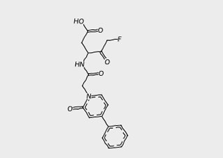 O=C(O)CC(NC(=O)Cn1ccc(-c2ccccc2)cc1=O)C(=O)CF